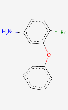 Nc1ccc(Br)c(Oc2ccccc2)c1